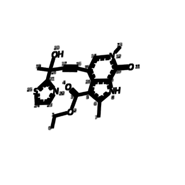 CCOC(=O)c1c(C)[nH]c2c(=O)n(C)cc(C#CC(C)(O)c3nccs3)c12